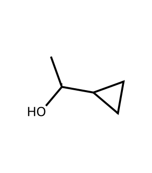 C[C](O)C1CC1